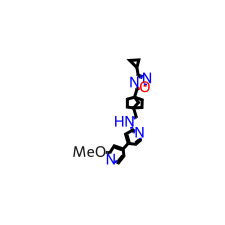 COc1cc(-c2ccnc(NCC34CCC(c5nc(C6CC6)no5)(CC3)C4)c2)ccn1